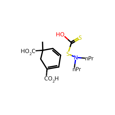 CC1(C(=O)O)C=CC=C(C(=O)O)C1.CCCN(CCC)SC(O)=S